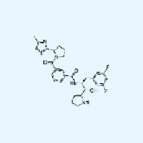 Cc1csc(C2CCCN2C(=O)c2cccc(C(=O)N[C@@H](Cc3cc(F)cc(F)c3)[C@H](O)C3CCCN3)c2)n1